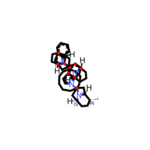 C[C@@H]1CC[C@H]2C[C@@H](n3ccc4c(C5[C@@H]6CCC[C@H]5C[C@H](N5[C@@H]7CCC[C@H]5C[C@@H](n5ccc8ccccc85)C7)C6)cccc43)C[C@@H]1N2C1CCCCCCCCC1